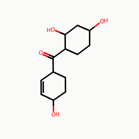 O=C(C1C=CC(O)CC1)C1CCC(O)CC1O